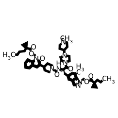 CCCCC1(C(=O)OCn2c(=O)c(C3CCN(C(=O)N[C@H](Cc4cc(C)c5c(cnn5COC(=O)C5(CCC)CC5)c4)C(=O)N4CCN(C5CCN(C)CC5)CC4)CC3)cc3ccccc32)CC1